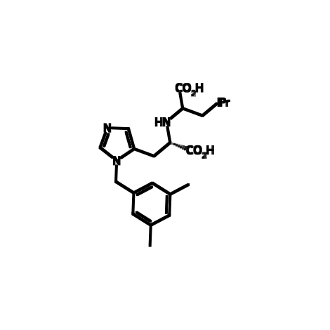 Cc1cc(C)cc(Cn2cncc2C[C@H](NC(CC(C)C)C(=O)O)C(=O)O)c1